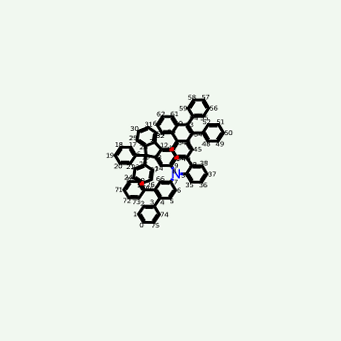 c1ccc(-c2ccc(N(c3ccc4c(c3)C(c3ccccc3)(c3ccccc3)c3ccccc3-4)c3ccccc3-c3ccc4c(c3)c(-c3ccccc3)c(-c3ccccc3)c3ccccc34)cc2-c2ccccc2)cc1